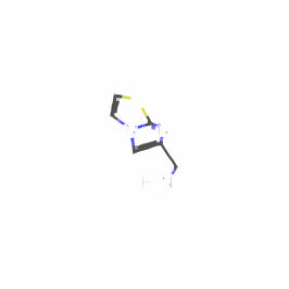 NCc1cn2ccsc2n1